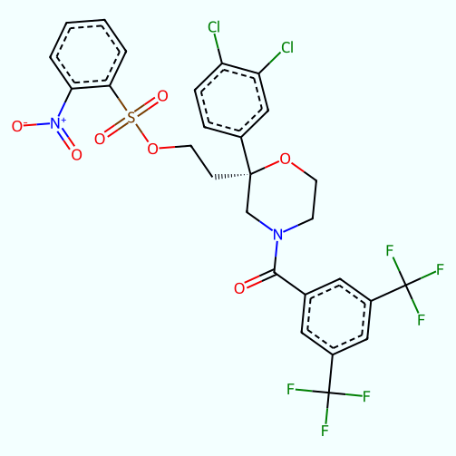 O=C(c1cc(C(F)(F)F)cc(C(F)(F)F)c1)N1CCO[C@](CCOS(=O)(=O)c2ccccc2[N+](=O)[O-])(c2ccc(Cl)c(Cl)c2)C1